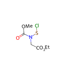 CCOC(=O)CN(SCl)C(=O)OC